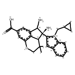 CC1(C)COc2cc(C(=O)O)cc3c2C1[C@@](N)(c1cc2ccccc2n1CC1CC1)C3N